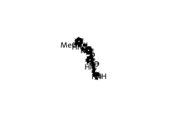 COc1ccccc1Nc1nc2cc(Oc3ccnc(C(=O)NCCc4c[nH]cn4)c3)ccc2n1C